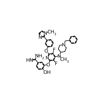 CN(c1c(F)c(Oc2cccc(-c3nccn3C)c2)nc(Oc2cc(C(=N)N)ccc2O)c1F)C1CCN(Cc2ccccc2)CC1